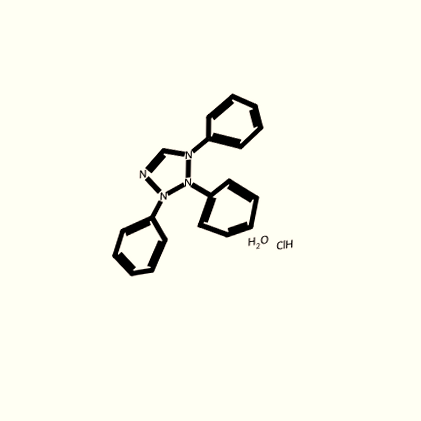 C1=NN(c2ccccc2)N(c2ccccc2)N1c1ccccc1.Cl.O